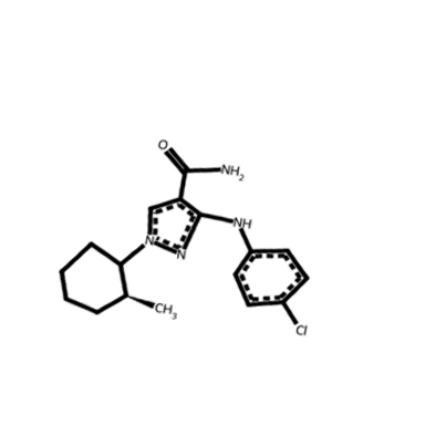 C[C@H]1CCCCC1n1cc(C(N)=O)c(Nc2ccc(Cl)cc2)n1